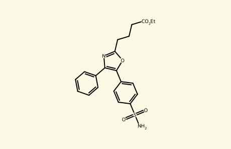 CCOC(=O)CCCc1nc(-c2ccccc2)c(-c2ccc(S(N)(=O)=O)cc2)o1